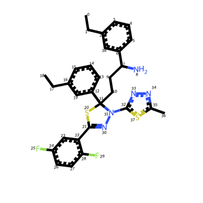 CCc1cccc(C(N)CCC2(c3cccc(CC)c3)SC(c3cc(F)ccc3F)=NN2c2nnc(C)s2)c1